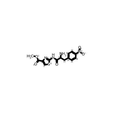 COC(=O)c1csc(NC(=O)C(N)Cc2ccc([N+](=O)[O-])cc2)n1